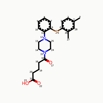 Cc1ccc(Sc2ccccc2N2CCN(C(=O)CCCC(=O)O)CC2)c(C)c1